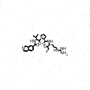 CC(C)[C@H](NC(=O)c1ccc2ccncc2c1)C(=O)N1CCC[C@H]1C(=O)N[C@@H](CCCNC(=N)N)C(=O)CF